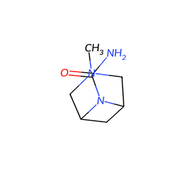 CN1CC2CC(C1)N2C(N)=O